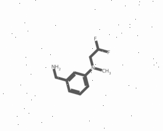 CN(CC(F)F)c1cccc(CN)c1